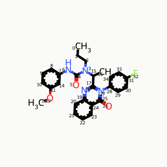 CCCN(C(=O)Nc1cccc(OC)c1)C(C)c1nc2ccccc2c(=O)n1-c1ccc(F)cc1